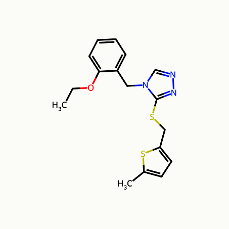 CCOc1ccccc1Cn1cnnc1SCc1ccc(C)s1